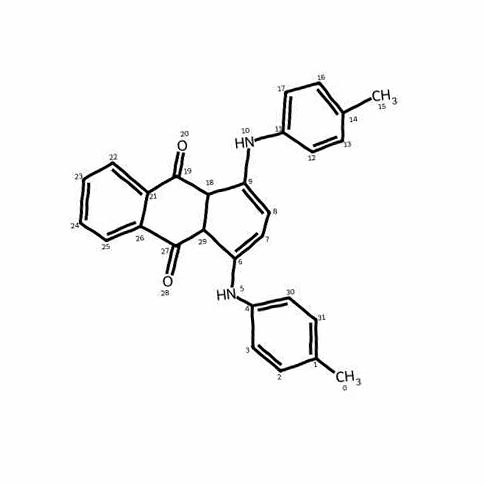 Cc1ccc(NC2=CC=C(Nc3ccc(C)cc3)C3C(=O)c4ccccc4C(=O)C23)cc1